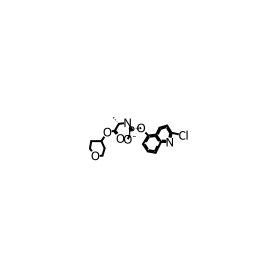 C[C@H](/N=[P+](\[O-])Oc1cccc2nc(Cl)ccc12)C(=O)OC1CCOCC1